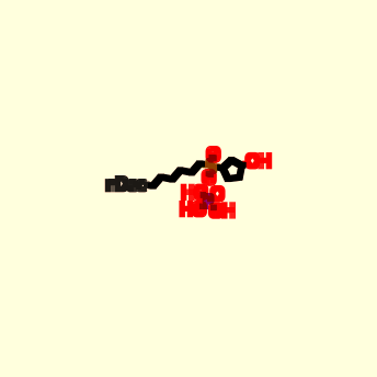 CCCCCCCCCCCCCCCCS(=O)(=O)C1CCC(O)C1.O=P(O)(O)O